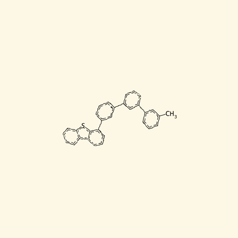 Cc1cccc(-c2cccc(-c3cccc(-c4cccc5c4sc4ccccc45)c3)c2)c1